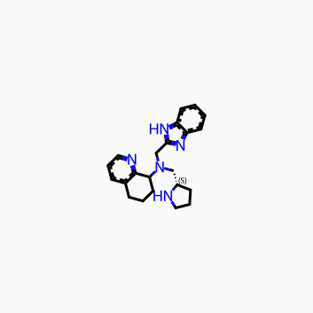 c1cnc2c(c1)CCCC2N(Cc1nc2ccccc2[nH]1)C[C@@H]1CCCN1